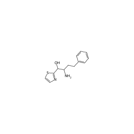 NC(CCc1ccccc1)C(O)c1nccs1